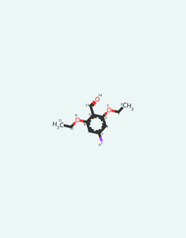 CCOc1cc(I)cc(OCC)c1C=O